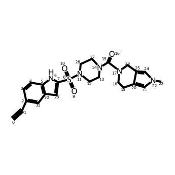 C#Cc1ccc2[nH]c(S(=O)(=O)N3CCN(C(=O)N4CCc5cn(C)cc5C4)CC3)cc2c1